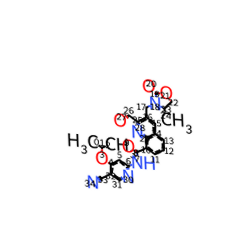 CC(C)Oc1cc(NC(=O)c2cccc3cc(CN4C(=O)OCC4C)c(C=O)nc23)ncc1C#N